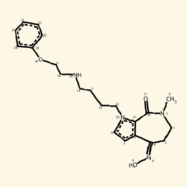 CN1CC/C(=N/O)c2ccn(CCCCNCCOc3ccccc3)c2C1=O